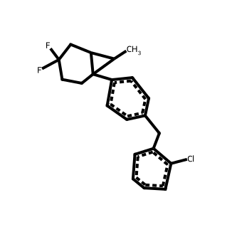 CC1C2CC(F)(F)CCC12c1ccc(Cc2ccccc2Cl)cc1